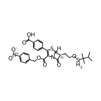 CC(C)C(C)(C)[SiH2]OCC[C@H]1C(=O)N2C(C(=O)OCc3ccc([N+](=O)[O-])cc3)=C(c3ccc(C(=O)O)cc3)S[C@H]12